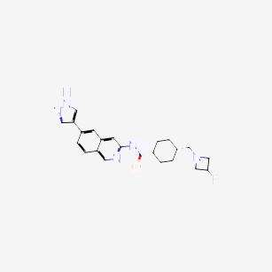 O=C(Nc1cc2cc(-c3cn[nH]c3)ccc2cn1)[C@H]1CC[C@H](CN2CC(F)C2)CC1